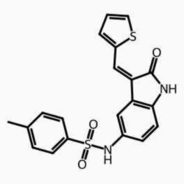 Cc1ccc(S(=O)(=O)Nc2ccc3c(c2)C(=Cc2cccs2)C(=O)N3)cc1